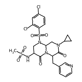 CS(=O)(=O)NC1CN(S(=O)(=O)c2ccc(Cl)cc2Cl)C2CN(C3CC3)C(=O)C(Cc3cccnc3)N2C1=O